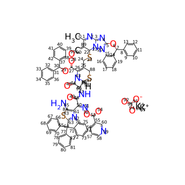 CC1=Nc2nc(OC(c3ccccc3)c3ccccc3)nn2C(SCC2=C(C(=O)OC(c3ccccc3)c3ccccc3)N3C(=O)[C@@H](NC(=O)C(=NOC(=O)c4cccnc4)c4nc(C(c5ccccc5)(c5ccccc5)c5ccccc5)sc4N)[C@H]3SC2)C1=C=O.O=C([O-])[O-].[K+].[K+]